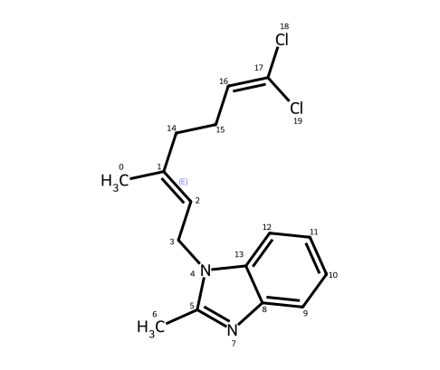 C/C(=C\Cn1c(C)nc2ccccc21)CCC=C(Cl)Cl